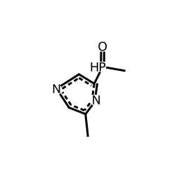 Cc1cncc([PH](C)=O)n1